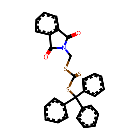 O=C1c2ccccc2C(=O)N1CSC(=S)SC(c1ccccc1)(c1ccccc1)c1ccccc1